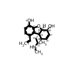 C=Cc1ccc(O)c2c1[C@]1(CCNC)[C@H](C)C=C[C@H](O)[C@@H]1O2